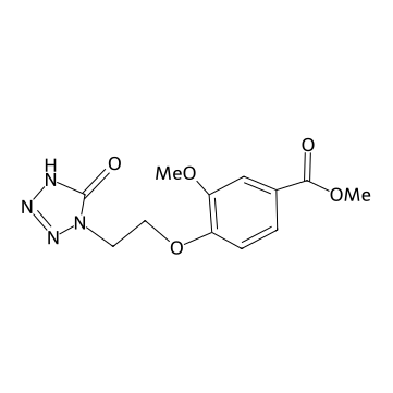 COC(=O)c1ccc(OCCn2nn[nH]c2=O)c(OC)c1